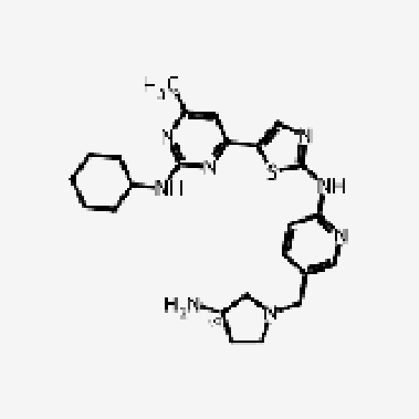 Cc1cc(-c2cnc(Nc3ccc(CN4CC[C@@H](N)C4)cn3)s2)nc(NC2CCCCC2)n1